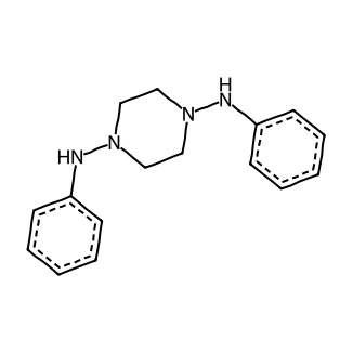 c1ccc(NN2CCN(Nc3ccccc3)CC2)cc1